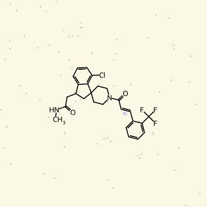 CNC(=O)CC1CC2(CCN(C(=O)/C=C/c3ccccc3C(F)(F)F)CC2)c2c(Cl)cccc21